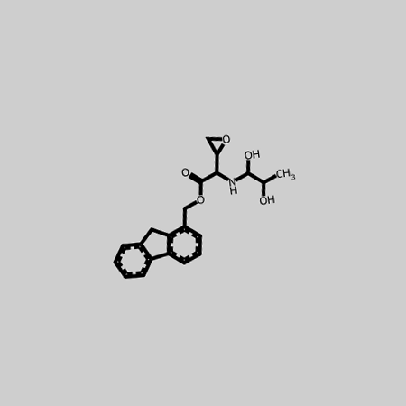 CC(O)C(O)NC(C(=O)OCc1cccc2c1Cc1ccccc1-2)C1CO1